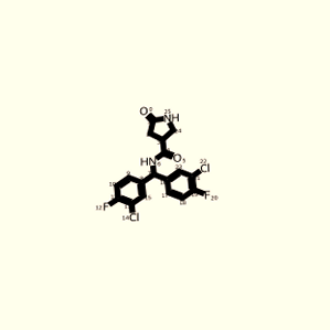 O=C1CC(C(=O)NC(c2ccc(F)c(Cl)c2)c2ccc(F)c(Cl)c2)CN1